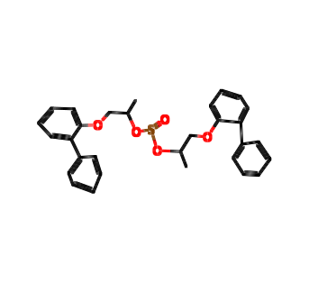 CC(COc1ccccc1-c1ccccc1)OS(=O)OC(C)COc1ccccc1-c1ccccc1